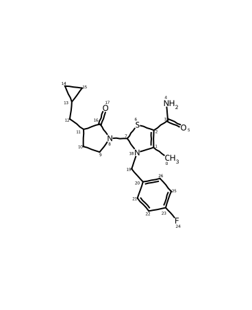 CC1=C(C(N)=O)SC(N2CCC(CC3CC3)C2=O)N1Cc1ccc(F)cc1